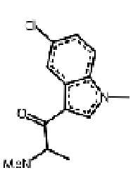 CNC(C)C(=O)c1cn(C)c2ccc(Cl)cc12